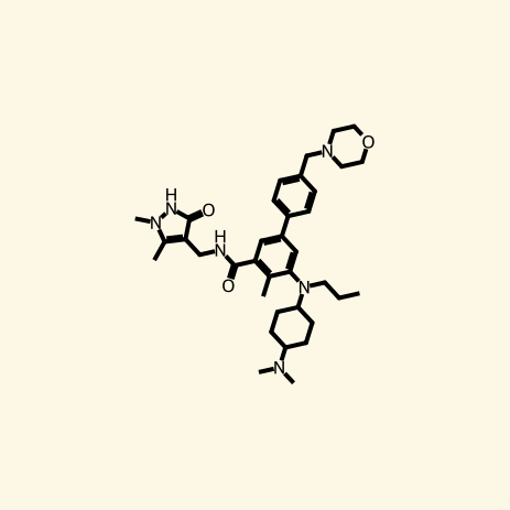 CCCN(c1cc(-c2ccc(CN3CCOCC3)cc2)cc(C(=O)NCc2c(C)n(C)[nH]c2=O)c1C)C1CCC(N(C)C)CC1